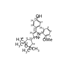 COc1ccccc1-n1nc(C2CC(C)(C)OC(C)(C)C2)cc1-c1ccc(O)cc1